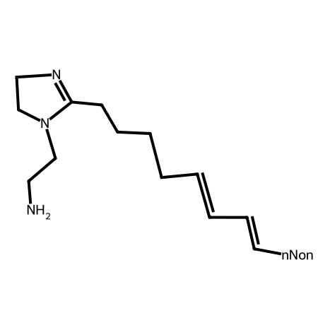 CCCCCCCCCC=CC=CCCCCC1=NCCN1CCN